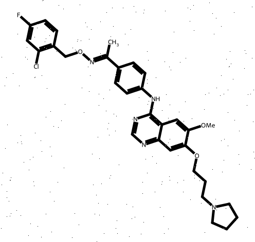 COc1cc2c(Nc3ccc(C(C)=NOCc4ccc(F)cc4Cl)cc3)ncnc2cc1OCCCN1CCCC1